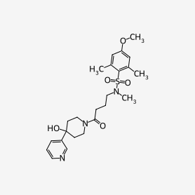 COc1cc(C)c(S(=O)(=O)N(C)CCCC(=O)N2CCC(O)(c3cccnc3)CC2)c(C)c1